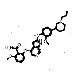 CCCN1CCCC(c2ccc(Nc3cc4c(Nc5cccc(OC)c5C(N)=O)cncc4[nH]3)c(OC)c2)C1